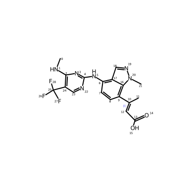 CNc1nc(Nc2ccc(/C(C)=C/C(=O)O)c3c2cnn3C)ncc1C(F)(F)F